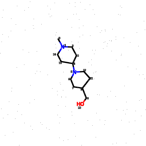 CN1CCC(N2CCC(CO)CC2)CC1